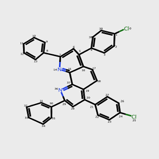 Clc1ccc(-c2cc(-c3ccccc3)nc3c2ccc2c(-c4ccc(Cl)cc4)cc(-c4ccccc4)nc23)cc1